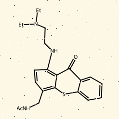 CCN(CC)CCNc1ccc(CNC(C)=O)c2sc3ccccc3c(=O)c12